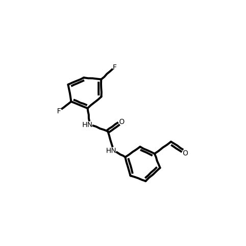 O=Cc1cccc(NC(=O)Nc2cc(F)ccc2F)c1